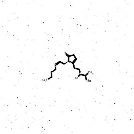 CCCCC(C)C(O)CCC1=CCC(=O)[C@@H]1C/C=C\CCCC(=O)O